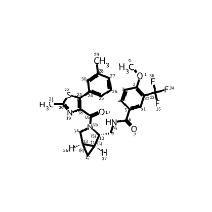 COc1ccc(C(=O)NC[C@@H]2[C@H]3C[C@H]3CN2C(=O)c2nc(C)sc2-c2cccc(C)c2)cc1C(F)(F)F